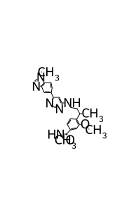 CNC(=O)c1ccc(C(C)CCNc2cc(-c3ccc4c(c3)ncn4C)ncn2)c(OC)c1